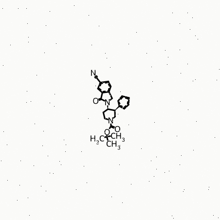 CC(C)(C)OC(=O)N1CC[C@@H](N2Cc3ccc(C#N)cc3C2=O)[C@@H](c2ccccc2)C1